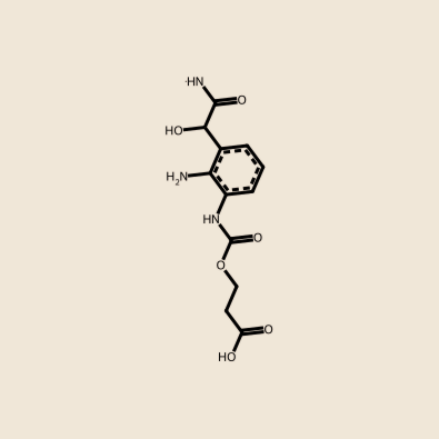 [NH]C(=O)C(O)c1cccc(NC(=O)OCCC(=O)O)c1N